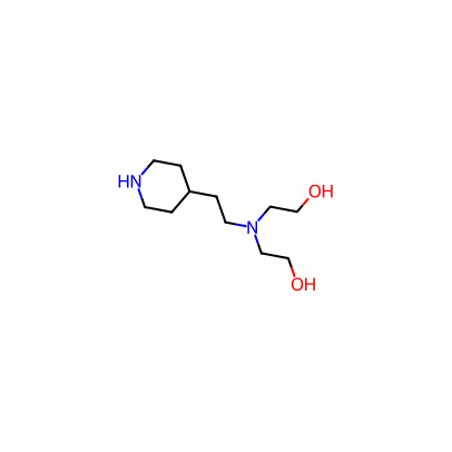 OCCN(CCO)CCC1CCNCC1